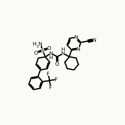 N#Cc1nccc(C2(NC(=O)NC3(S(N)(=O)=O)C=CC(c4ccccc4C(F)(F)F)=CC3)CCCCC2)n1